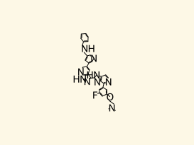 CN(C)CCOc1cc(F)cc(-c2nccc3[nH]c(-c4n[nH]c5ncc(-c6cncc(CNCc7ccccc7)c6)cc45)nc23)c1